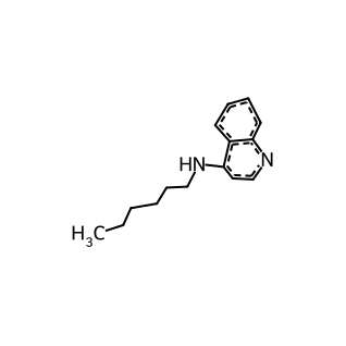 CCCCCCNc1ccnc2ccccc12